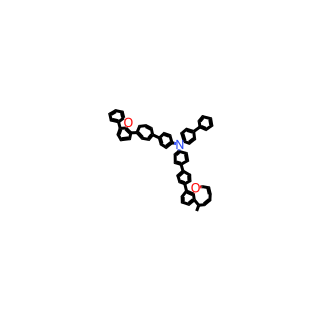 CC1/C=C\C=C/COc2c(-c3ccc(-c4ccc(N(c5ccc(C6=CC=C(c7cccc8c7oc7ccccc78)CC=C6)cc5)c5ccc(-c6ccccc6)cc5)cc4)cc3)cccc21